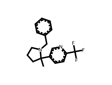 CC1(c2ccc(C(F)(F)F)nc2)CCCN1Cc1ccccc1